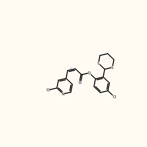 O=C(/C=C\c1ccnc(Cl)c1)Oc1ccc(Cl)cc1C1SCCCS1